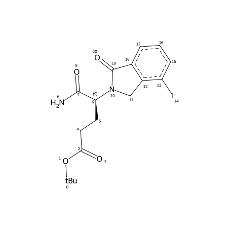 CC(C)(C)OC(=O)CC[C@@H](C(N)=O)N1Cc2c(I)cccc2C1=O